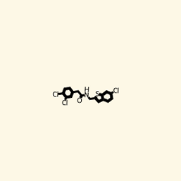 O=C(Cc1ccc(Cl)c(Cl)c1)NCc1cc2ccc(Cl)cc2s1